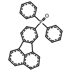 O=P(c1ccccc1)(c1ccccc1)c1ccc2c(c1)-c1cccc3cccc-2c13